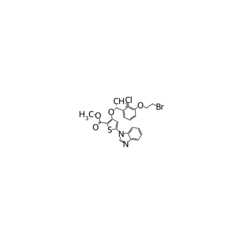 COC(=O)c1sc(-n2cnc3ccccc32)cc1O[C@H](C)c1cccc(OCCBr)c1Cl